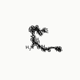 CC[C@@]1(OC(=O)OCc2ccc(NC(=O)[C@H](CCCCN)NC(=O)COCC(=O)NCCOC(C)CCNC(=O)CCCC#Cc3cnc(S(C)(=O)=O)nc3)cc2)C(=O)OCc2c1cc1n(c2=O)Cc2c-1nc1ccccc1c2CCN(C(C)=O)C(C)C